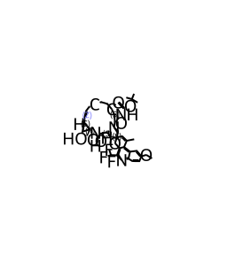 COc1ccc2nc(C(F)(F)F)c3c(c2c1)C(C)=C[C@]1(C[C@H]2C(=O)N[C@]4(C(=O)O)C[C@H]4/C=C\CCCCC[C@H](NC(=O)OC(C)(C)C)C(=O)N2C1)O3